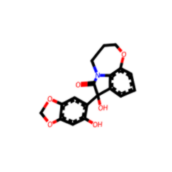 O=C1N2CCCOc3cccc(c32)C1(O)c1cc2c(cc1O)OCO2